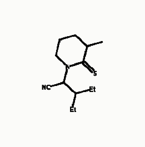 CCC(CC)C(C#N)N1CCCC(C)C1=S